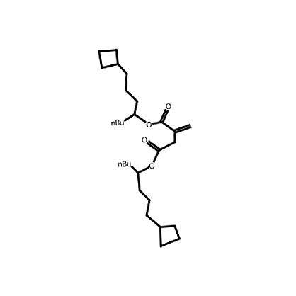 C=C(CC(=O)OC(CCCC)CCCC1CCC1)C(=O)OC(CCCC)CCCC1CCC1